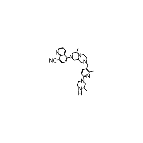 Cc1nc(N2CCNC(C)C2)ccc1CN1CCN2C(C)CN(c3ccc(C#N)c4ncccc34)CC2C1